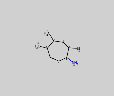 CCC1CC(C)C(C)CCC1N